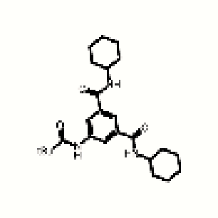 CC(C)(C)C(=O)Nc1cc(C(=O)NC2CCCCC2)cc(C(=O)NC2CCCCC2)c1